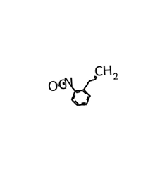 C=CCc1ccccc1N=C=O